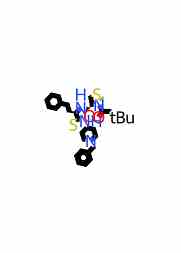 CC(C)(C)CC(=O)N1CSC[C@H]1C(=O)N[C@H](CCC1CCCCC1)C(=S)NC1CCN(Cc2ccccc2)CC1